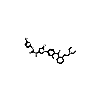 CCN(CC)CCC1CCCCN1C(=O)c1ccc(N2CC(NC(=O)Oc3ccc(Br)s3)CC2=O)cc1C